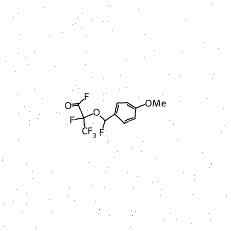 COc1ccc(C(F)OC(F)(C(=O)F)C(F)(F)F)cc1